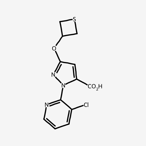 O=C(O)c1cc(OC2CSC2)nn1-c1ncccc1Cl